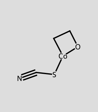 N#C[S][Co]1[CH2]C[O]1